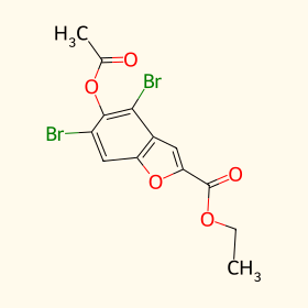 CCOC(=O)c1cc2c(Br)c(OC(C)=O)c(Br)cc2o1